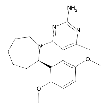 COc1ccc(OC)c([C@H]2CCCCCN2c2cc(C)nc(N)n2)c1